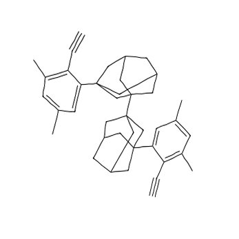 C#Cc1c(C)cc(C)cc1C12CC3CC(C1)CC(C14CC5CC(CC(c6cc(C)cc(C)c6C#C)(C5)C1)C4)(C3)C2